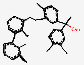 Cc1ccc(C(C)(O)c2ccc(C)c(CCc3cccc(-c4cccc(C)c4C)c3C)c2)cc1C